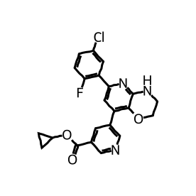 O=C(OC1CC1)c1cncc(-c2cc(-c3cc(Cl)ccc3F)nc3c2OCCN3)c1